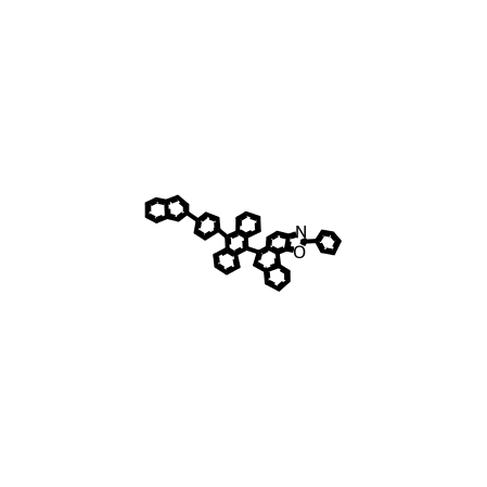 c1ccc(-c2nc3ccc4c(-c5c6ccccc6c(-c6ccc(-c7ccc8ccccc8c7)cc6)c6ccccc56)cc5ccccc5c4c3o2)cc1